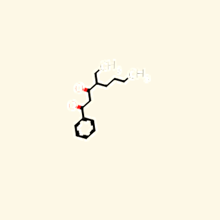 CCCCC(CC)C(=O)CC(=O)c1ccccc1